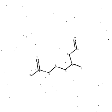 CC(=O)CCCC(C)CC=O